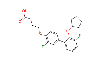 O=C(O)CCCSc1ccc(-c2cccc(F)c2OC2CCCC2)cc1F